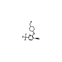 N#Cc1ccc(C(F)(F)F)nc1OC1CCC(CF)CC1